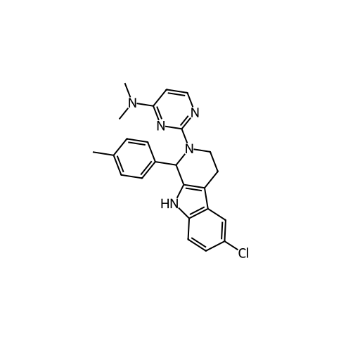 Cc1ccc(C2c3[nH]c4ccc(Cl)cc4c3CCN2c2nccc(N(C)C)n2)cc1